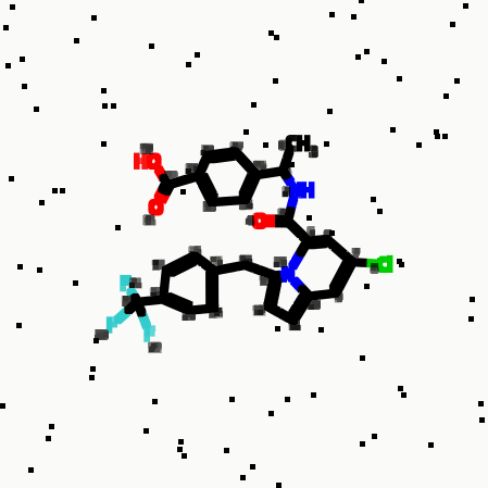 CC(NC(=O)c1cc(Cl)cc2ccc(Cc3ccc(C(F)(F)F)cc3)n12)c1ccc(C(=O)O)cc1